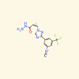 [C-]#[N+]c1cc(-c2ncn(/C=C\C(=O)NN)n2)cc(C(F)(F)F)c1